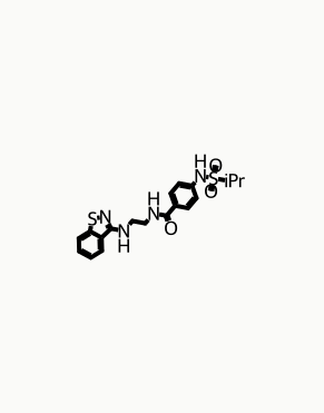 CC(C)S(=O)(=O)Nc1ccc(C(=O)NCCNc2nsc3ccccc23)cc1